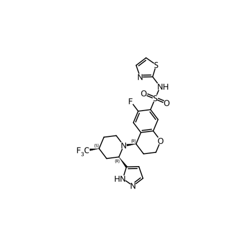 O=S(=O)(Nc1nccs1)c1cc2c(cc1F)[C@H](N1CC[C@H](C(F)(F)F)C[C@@H]1c1ccn[nH]1)CCO2